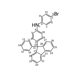 Brc1ccc(Nc2ccc(C3(c4ccccc4)c4ccccc4-c4ccccc43)cc2)cc1